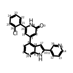 O=c1cc(-c2ccnc3[nH]c(-c4cccnc4)cc23)cc(-c2ccccc2Cl)[nH]1